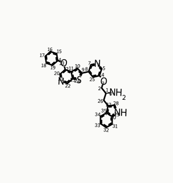 N[C@H](COc1cncc(-c2cc3c(Oc4ccccc4)cncc3s2)c1)Cc1c[nH]c2ccccc12